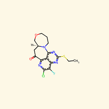 CCSc1nc2c3c(nc(Cl)c(F)c3n1)C(=O)C[C@H]1COCCCN21